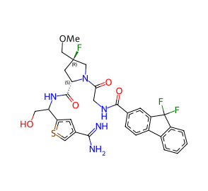 COC[C@@]1(F)C[C@@H](C(=O)NC(CO)c2cc(C(=N)N)cs2)N(C(=O)CNC(=O)c2ccc3c(c2)C(F)(F)c2ccccc2-3)C1